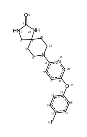 O=C1NCC2(CCN(c3ccc(Oc4ccc(F)cc4)cn3)CC2)N1